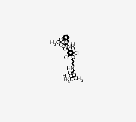 CC(C)(C)OC(=O)CNCCCCOc1c(Cl)cc(C(=O)N[C@@H](Cc2ccccc2)C(=O)OC(C)(C)C)c(O)c1Cl